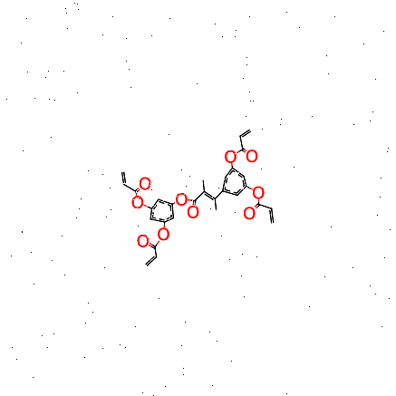 C=CC(=O)Oc1cc(OC(=O)C=C)cc(OC(=O)/C(C)=C(\C)c2cc(OC(=O)C=C)cc(OC(=O)C=C)c2)c1